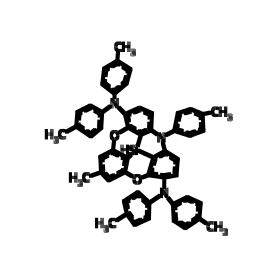 Cc1ccc(N(c2ccc(C)cc2)c2ccc3c4c2Oc2cc(C)cc5c2[SiH]4c2c(ccc(N(c4ccc(C)cc4)c4ccc(C)cc4)c2O5)N3c2ccc(C)cc2)cc1